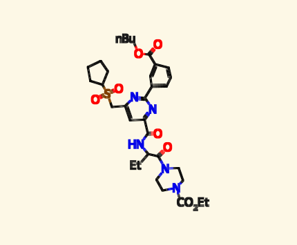 CCCCOC(=O)c1cccc(-c2nc(CS(=O)(=O)C3CCCC3)cc(C(=O)NC(CC)C(=O)N3CCN(C(=O)OCC)CC3)n2)c1